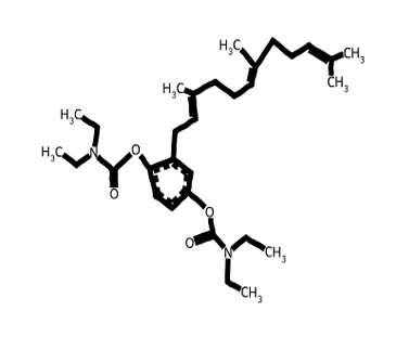 CCN(CC)C(=O)Oc1ccc(OC(=O)N(CC)CC)c(C/C=C(\C)CC/C=C(\C)CCC=C(C)C)c1